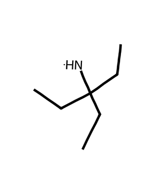 CCC([NH])(CC)CC